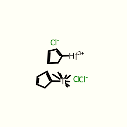 [CH3][Ti]([CH3])([CH3])([CH3])([CH3])([CH3])([CH3])([CH3])[C]1=CC=CC1.[Cl-].[Cl-].[Cl-].[Hf+3][C]1=CC=CC1